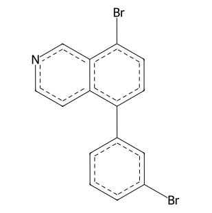 Brc1cccc(-c2ccc(Br)c3cnccc23)c1